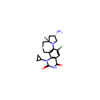 N[C@H]1C[C@H]2CCCc3c(c(F)cc4c(=O)[nH]c(=O)n(C5CC5)c34)N2C1